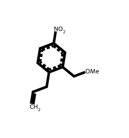 C=CCc1ccc([N+](=O)[O-])cc1COC